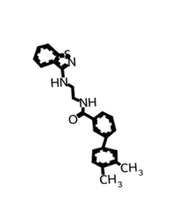 Cc1ccc(-c2cccc(C(=O)NCCNc3nsc4ccccc34)c2)cc1C